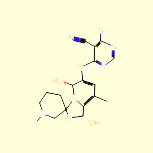 CC1=C2[C@H](O)NC3(CCCN(C)C3)N2C(O)C(Nc2ncnc(N)c2C#N)=C1